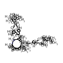 CN(CCCl)CCCl.CNC(=O)[C@@H](NC(=O)[C@H](CC(C)C)[C@H](O)C(=O)NO)C(C)(C)C.COc1cc2cc(c1Cl)N(C)C(=O)C[C@H](OC(=O)[C@H](C)N(C)C(C)=O)[C@]1(C)O[C@H]1[C@H](C)[C@@H]1C[C@@](O)(NC(=O)O1)[C@H](OC)/C=C\C=C(\C)C2.CS(=O)(=O)OC[C@@H](OS(C)(=O)=O)[C@@H](O)[C@H](O)[C@@H](COS(C)(=O)=O)OS(C)(=O)=O.C[C@H](Cc1ccc(O)c(O)c1)[C@@H](C)Cc1ccc(O)c(O)c1.O=[P@]1(N(CCCl)CCCl)N[C@H](SCCS(=O)(=O)O)CCO1